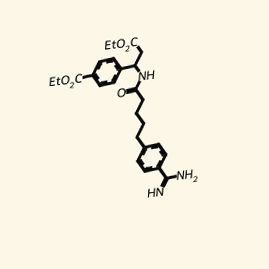 CCOC(=O)CC(NC(=O)CCCCc1ccc(C(=N)N)cc1)c1ccc(C(=O)OCC)cc1